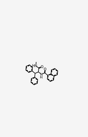 CNC(=O)C(NC(=O)c1cccc2ccccc12)C(c1ccccc1)c1ccccc1